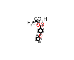 CC1(Oc2ccc(C(=O)OCC(C(=O)O)C(F)(F)F)cc2)CCCC1